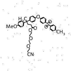 COc1ccc(C(C)(CCC(=O)OCCOCCOCCC#N)c2ccc(Oc3ccc(S(=O)(=O)c4ccc(C)cc4)cc3)cc2)cc1